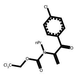 C=C(C(=O)c1ccc(Cl)cc1)N(CCC)C(=O)OCC(Cl)(Cl)Cl